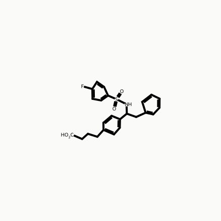 O=C(O)CCCc1ccc(C(Cc2ccccc2)NS(=O)(=O)c2ccc(F)cc2)cc1